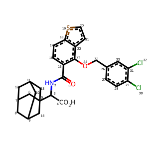 O=C(NC(C(=O)O)C12CC3CC(CC(C3)C1)C2)c1ccc2sccc2c1OCc1ccc(Cl)c(Cl)c1